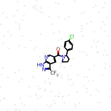 O=C(c1cnc2[nH]nc(C(F)(F)F)c2c1)N1CCCC1c1ccc(Cl)cc1